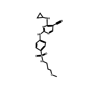 COCCCNS(=O)(=O)c1ccc(Nc2ncc(C#N)c(NC3CC3)n2)cc1